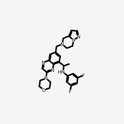 CC(Nc1cc(F)cc(F)c1)c1cc(CN2CCn3nccc3C2)cc2ncc(N3CCOCC3)nc12